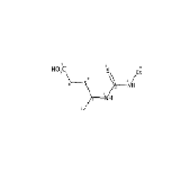 CCNC(=S)NC(C)SCC(=O)O